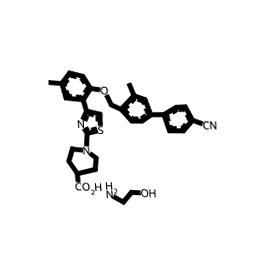 Cc1ccc(OCc2ccc(-c3ccc(C#N)cc3)cc2C)c(-c2csc(N3CCC(C(=O)O)CC3)n2)c1.NCCO